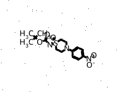 CC(C)(C)OC(=O)N=S1(=O)CCN(c2ccc([N+](=O)[O-])cc2)CC1